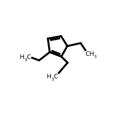 CC[C]1C=CC(CC)=C1CC